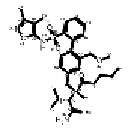 CCCCC(=O)[N+](C)(Cc1ccc(-c2ccccc2S(=O)(=O)Nc2onc(C)c2C)c(COC)c1)[C@H](C(N)=O)C(C)C